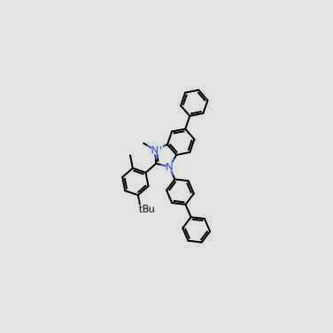 Cc1ccc(C(C)(C)C)cc1-c1n(-c2ccc(-c3ccccc3)cc2)c2ccc(-c3ccccc3)cc2[n+]1C